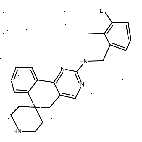 Cc1c(Cl)cccc1CNc1ncc2c(n1)-c1ccccc1C1(CCNCC1)C2